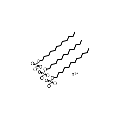 CCCCCCCCCCCCOS(=O)(=O)[O-].CCCCCCCCCCCCOS(=O)(=O)[O-].CCCCCCCCCCCCOS(=O)(=O)[O-].[In+3]